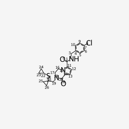 O=C(NCc1ccc(Cl)cc1)c1ccc2n1CCN(CC1(SC3CC3)CC1)C2=O